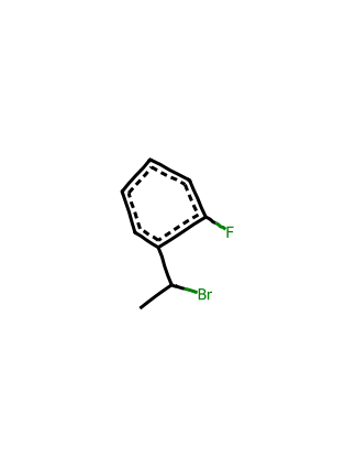 C[C](Br)c1ccccc1F